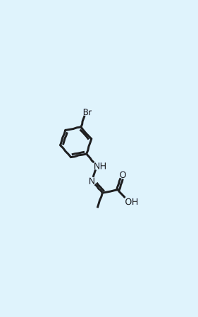 CC(=NNc1cccc(Br)c1)C(=O)O